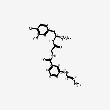 CCOC(=O)C(Cc1ccc(Cl)c(Cl)c1)NC(=O)CNC(=O)c1cccc(NC=NN)c1